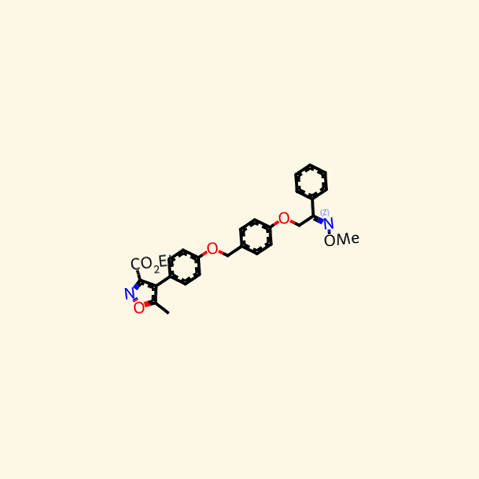 CCOC(=O)c1noc(C)c1-c1ccc(OCc2ccc(OC/C(=N\OC)c3ccccc3)cc2)cc1